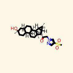 C[C@H]1[C@@H]2[C@H]1[C@H](C(=O)Cn1cc(S(C)(=O)=O)cn1)[C@@]1(C)CC[C@H]3[C@@H](CC[C@@H]4C[C@](C)(O)CC[C@@H]43)[C@H]21